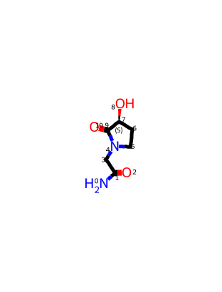 NC(=O)CN1CC[C@H](O)C1=O